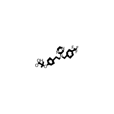 CC(C)(Oc1ccc(CCN(Cc2ccc(C(F)(F)F)cc2)c2cnccn2)cc1)C(=O)O